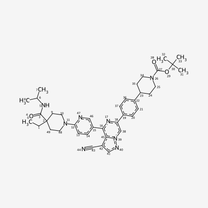 CCC1(C(=O)NC(C)C)CCN(c2ccc(-c3nc(-c4ccc(C5CCN(C(=O)OC(C)(C)C)CC5)cc4)cn4ncc(C#N)c34)cn2)CC1